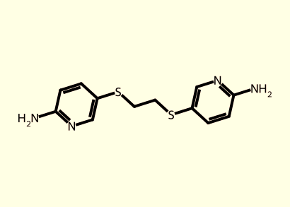 Nc1ccc(SCCSc2ccc(N)nc2)cn1